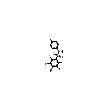 O=S(=O)(Nc1ccc(F)cc1)c1c(F)c(F)c(F)c(F)c1F